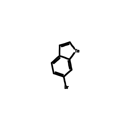 Brc1ccc2cc[te]c2c1